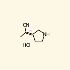 C/C(C#N)=C1\CCNC1.Cl